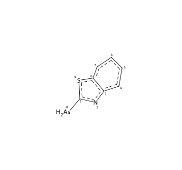 [AsH2]c1nc2ccccc2s1